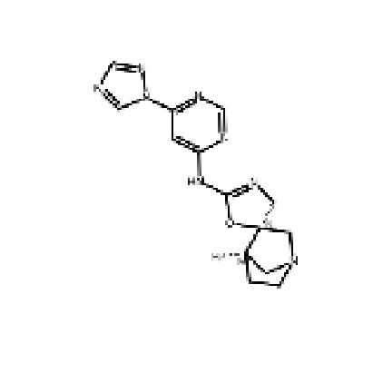 c1nc(NC2=NC[C@@]3(CN4CC[C@@H]3C4)O2)cc(-n2cncn2)n1